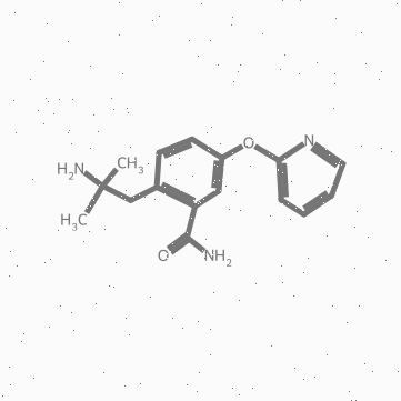 CC(C)(N)Cc1ccc(Oc2ccccn2)cc1C(N)=O